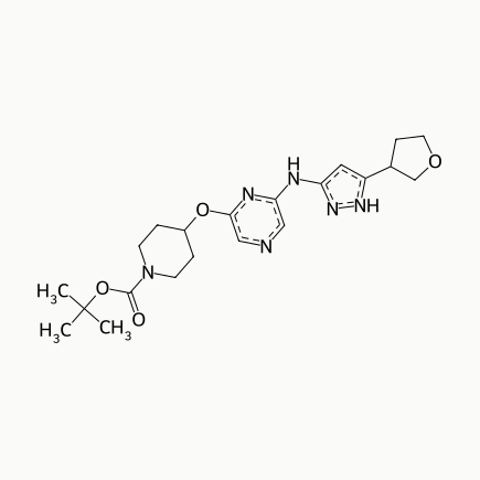 CC(C)(C)OC(=O)N1CCC(Oc2cncc(Nc3cc(C4CCOC4)[nH]n3)n2)CC1